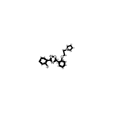 Fc1ccccc1-c1noc(-c2ccccc2OCCN2CCCC2)n1